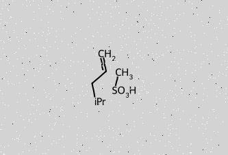 C=CCC(C)C.CS(=O)(=O)O